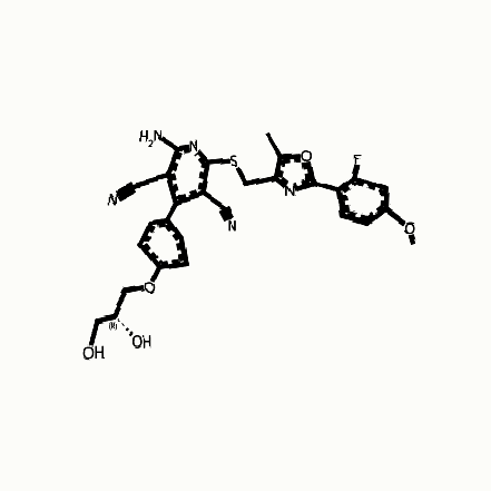 COc1ccc(-c2nc(CSc3nc(N)c(C#N)c(-c4ccc(OC[C@H](O)CO)cc4)c3C#N)c(C)o2)c(F)c1